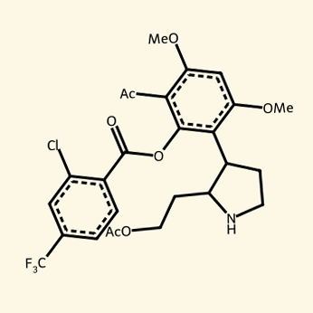 COc1cc(OC)c(C2CCNC2CCOC(C)=O)c(OC(=O)c2ccc(C(F)(F)F)cc2Cl)c1C(C)=O